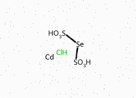 Cl.O=S(=O)(O)[Se]S(=O)(=O)O.[Cd]